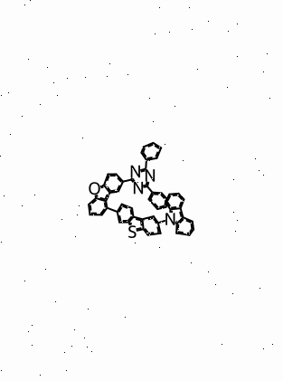 c1ccc(-c2nc(-c3ccccc3)nc(-c3ccc4oc5cccc(-c6ccc7c(c6)sc6ccc(-n8c9ccccc9c9ccccc98)cc67)c5c4c3)n2)cc1